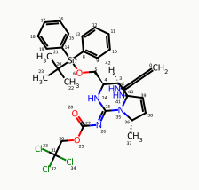 C=C1N[C@H]2[C@H](CO[Si](c3ccccc3)(c3ccccc3)C(C)(C)C)N/C(=N\C(=O)OCC(Cl)(Cl)Cl)N3[C@@H](C)C=CC23N1